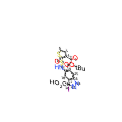 CC(C)(C)OC(=O)c1ccsc1S(=O)(=O)Nc1ccc2c(c1)C(I)(C(=O)O)N=N2